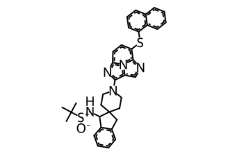 CC(C)(C)[S+]([O-])NC1c2ccccc2CC12CCN(c1nc3ccc(Sc4cccc5ccccc45)c4ncc1n34)CC2